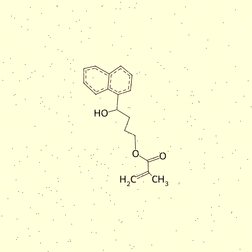 C=C(C)C(=O)OCCCC(O)c1cccc2ccccc12